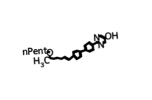 CCCCCOC(C)CCCC=Cc1ccc(-c2ccc(-c3ncc(O)cn3)cc2)cc1